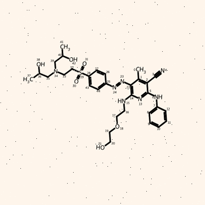 Cc1c(C#N)c(Nc2ccccc2)nc(NCCOCCO)c1/N=N/c1ccc(S(=O)(=O)CCN(CC(C)O)CC(C)O)cc1